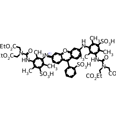 CCOC(=O)CN(CC(=O)OCC)C(=O)Nc1c(C)c(/N=c2\ccc3c(-c4ccccc4S(=O)(=O)O)c4ccc(Nc5c(C)c(NC(=O)N(CC(=O)OCC)CC(=O)OCC)c(C)c(S(=O)(=O)O)c5C)cc4oc-3c2)c(C)c(S(=O)(=O)O)c1C